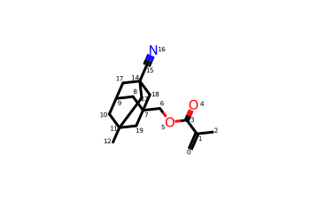 C=C(C)C(=O)OCC12CC3CC(C)(CC(C#N)(C3)C1)C2